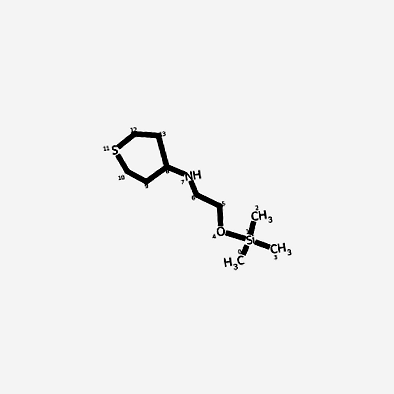 C[Si](C)(C)OCCNC1CCSCC1